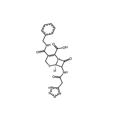 O=C(Cc1nnn[nH]1)NC1C(=O)N2C(C(=O)O)=C(C(=O)NCc3ccccc3)CS[C@H]12